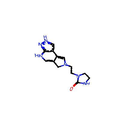 O=C1NCCN1CCN1C=C2C(=CNc3n[nH]cc32)C1